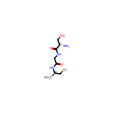 N[C@@H](CO)C(=O)NCC(=O)N[C@@H](CS)C(=O)O